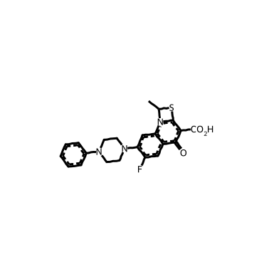 CC1Sc2c(C(=O)O)c(=O)c3cc(F)c(N4CCN(c5ccccc5)CC4)cc3n21